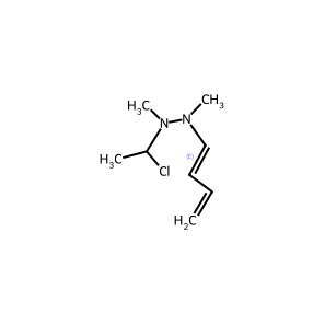 C=C/C=C/N(C)N(C)C(C)Cl